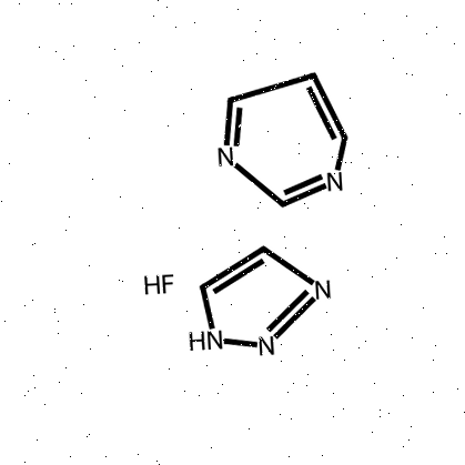 F.c1c[nH]nn1.c1cncnc1